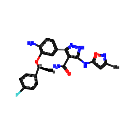 C[C@H](Oc1cc(-c2n[nH]c(Nc3cc(C(C)(C)C)no3)c2C(N)=O)ccc1N)c1ccc(F)cc1